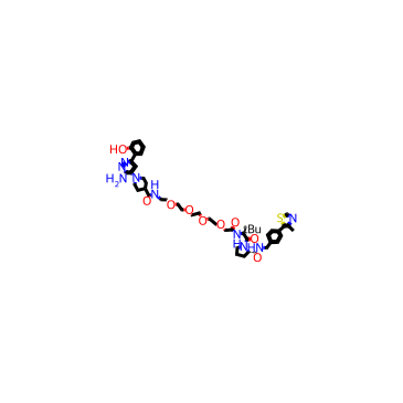 Cc1ncsc1-c1ccc(CNC(=O)[C@@H]2CCCN2C(=O)[C@@H](NC(=O)COCCOCCOCCOCCNC(=O)C2CCN(c3cc(-c4ccccc4O)nnc3N)CC2)C(C)(C)C)cc1